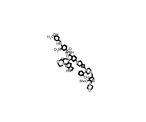 COc1cc(CN2CCN(C3CC4(CCN(c5ccc(C(=O)NS(=O)(=O)c6ccc(NCC7CCC(C)(O)CC7)c([N+](=O)[O-])c6)c(N6CC[C@@H]7COCCCN7c7nc8[nH]ccc8cc76)c5)CC4)C3)[C@H](c3ccccc3C)C2)cnc1N1CCOCC1